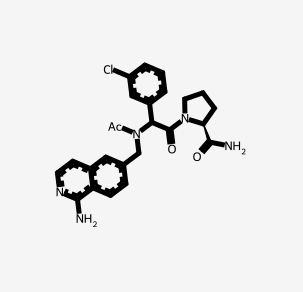 CC(=O)N(Cc1ccc2c(N)nccc2c1)C(C(=O)N1CCC[C@H]1C(N)=O)c1cccc(Cl)c1